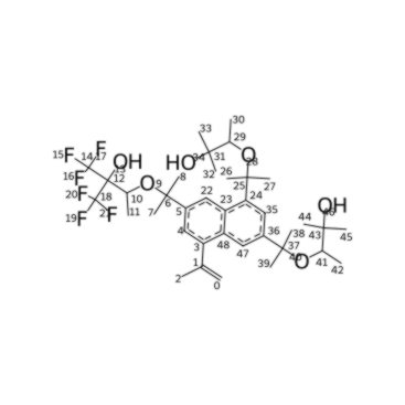 C=C(C)c1cc(C(C)(C)OC(C)C(O)(C(F)(F)F)C(F)(F)F)cc2c(C(C)(C)OC(C)C(C)(C)O)cc(C(C)(C)OC(C)C(C)(C)O)cc12